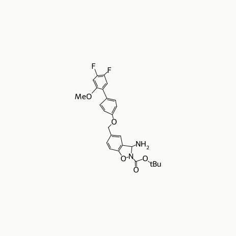 COc1cc(F)c(F)cc1-c1ccc(OCc2ccc3c(c2)C(N)N(C(=O)OC(C)(C)C)O3)cc1